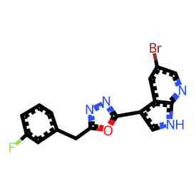 Fc1cccc(Cc2nnc(-c3c[nH]c4ncc(Br)cc34)o2)c1